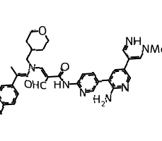 CN/C=C(\C=N)c1cnc(N)c(-c2ccc(NC(=O)/C(C=O)=C/N(/C=C(\C)c3ccc(C)cc3)CC3CCOCC3)nc2)c1